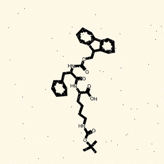 CC(C)(C)OC(=O)NCCCCC(NC(=O)C(Cc1ccccc1)NC(=O)OCC1c2ccccc2-c2ccccc21)C(=O)O